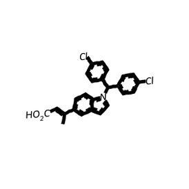 C/C(=C\C(=O)O)c1ccc2c(ccn2C(c2ccc(Cl)cc2)c2ccc(Cl)cc2)c1